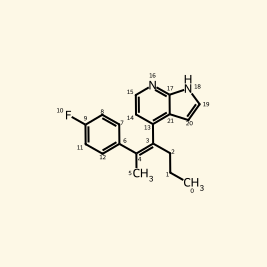 CCC/C(=C(\C)c1ccc(F)cc1)c1ccnc2[nH]ccc12